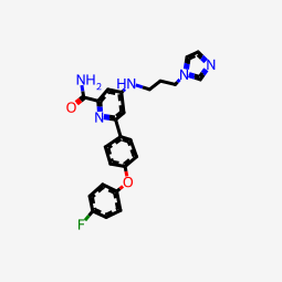 NC(=O)c1cc(NCCCn2ccnc2)cc(-c2ccc(Oc3ccc(F)cc3)cc2)n1